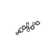 O=C(Nc1ccc2c(c1)CCN(C1CCC1)CC2)c1cccc(Oc2ccccc2)c1